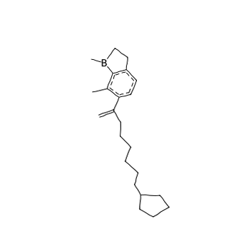 C=C(CCCCCCC1CCCC1)c1ccc2c(c1C)B(C)CC2